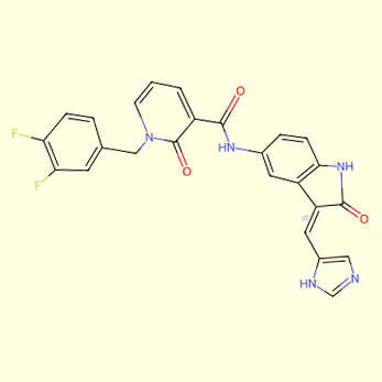 O=C1Nc2ccc(NC(=O)c3cccn(Cc4ccc(F)c(F)c4)c3=O)cc2/C1=C/c1cnc[nH]1